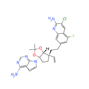 C=C[C@]1(CCc2cc(F)c3cc(Cl)c(N)nc3c2)CC[C@@]2(n3ccc4c(N)ncnc43)OC(C)(C)O[C@H]12